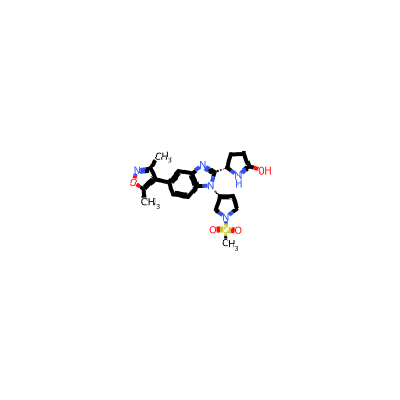 Cc1noc(C)c1-c1ccc2c(c1)nc([C@@H]1CCC(O)N1)n2[C@@H]1CCN(S(C)(=O)=O)C1